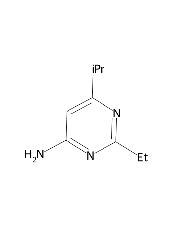 CCc1nc(N)cc(C(C)C)n1